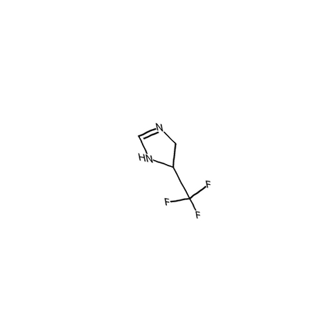 FC(F)(F)C1CN=CN1